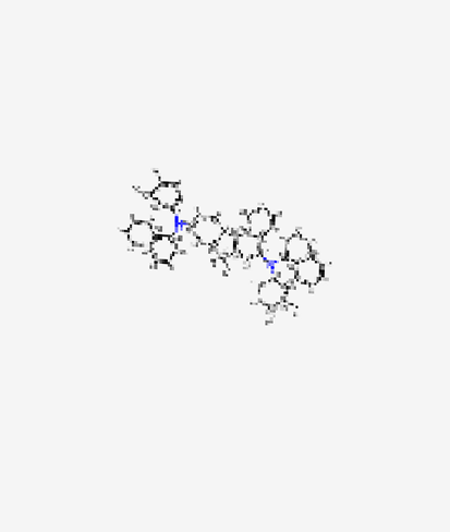 Cc1ccc(N(c2ccc3c(c2)C(C)(C)c2cc(N(c4ccc(C)c(C)c4)c4cccc5ccccc45)c4ccccc4c2-3)c2cccc3ccccc23)cc1C